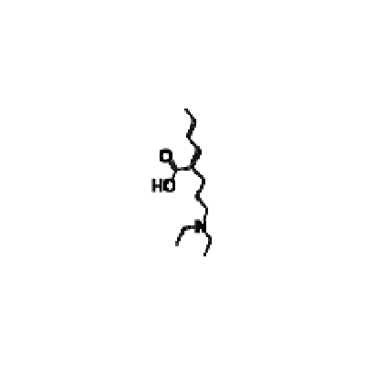 CC=CC=C(CCCN(CC)CC)C(=O)O